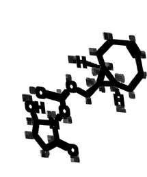 O=C(OC[C@@H]1[C@@H]2CCC#CCC[C@@H]21)ON1C(=O)CCC1O